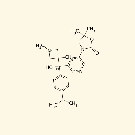 CC(C)c1ccc([C@](O)(c2cncc(N3CC(C)(C)OC3=O)c2)C2(C)CN(C)C2)cc1